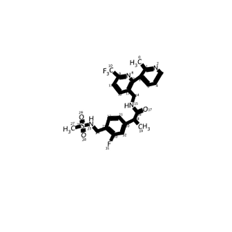 Cc1ncccc1-c1nc(C(F)(F)F)ccc1CNC(=O)C(C)c1ccc(CNS(C)(=O)=O)c(F)c1